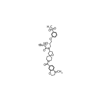 CN1CCOc2cc(C(=O)N3CCC4(CC3)CC(N(C[C@H](O)COc3cccc(S(C)(=O)=O)c3)C(=O)OC(C)(C)C)CO4)ccc21